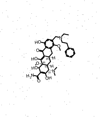 CCN(CCc1ccccc1)Cc1cc(O)c2c(c1OC)C[C@H]1C[C@H]3[C@H](N(C)C)C(O)=C(C(N)=O)C(O)[C@@]3(OC)C(O)=C1C2=O